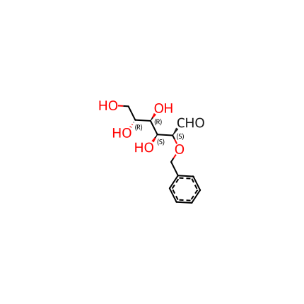 O=C[C@@H](OCc1ccccc1)[C@@H](O)[C@H](O)[C@H](O)CO